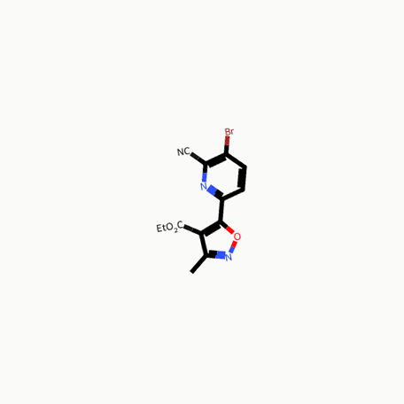 CCOC(=O)c1c(C)noc1-c1ccc(Br)c(C#N)n1